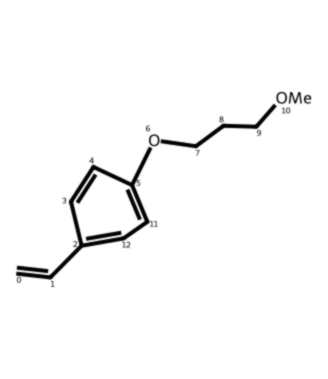 C=Cc1ccc(OCCCOC)cc1